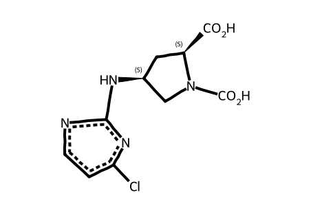 O=C(O)[C@@H]1C[C@H](Nc2nccc(Cl)n2)CN1C(=O)O